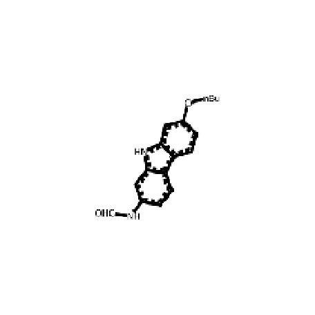 CCCCOc1ccc2c(c1)[nH]c1cc(NC=O)ccc12